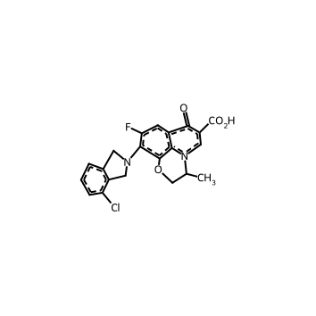 CC1COc2c(N3Cc4cccc(Cl)c4C3)c(F)cc3c(=O)c(C(=O)O)cn1c23